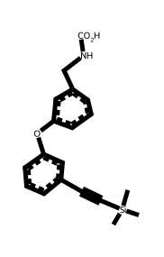 C[Si](C)(C)C#Cc1cccc(Oc2cccc(CNC(=O)O)c2)c1